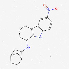 O=[N+]([O-])c1ccc2[nH]c3c(c2c1)CCCC3NC1CC2CCC1C2